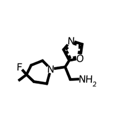 CC1(F)CCN(C(CN)c2cnco2)CC1